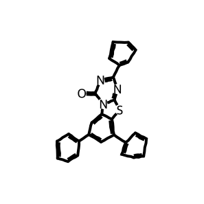 O=c1nc(-c2ccccc2)nc2sc3c(-c4ccccc4)cc(-c4ccccc4)cc3n12